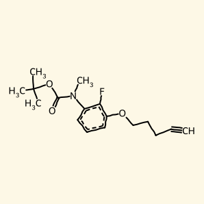 C#CCCCOc1cccc(N(C)C(=O)OC(C)(C)C)c1F